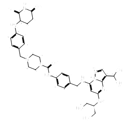 CC[C@@H](CO)Nc1cc(NCc2ccc(NC(=O)N3CCN(Cc4ccc(NC5CCC(=O)NC5=O)cc4)CC3)cc2)n2ncc(C(C)C)c2n1